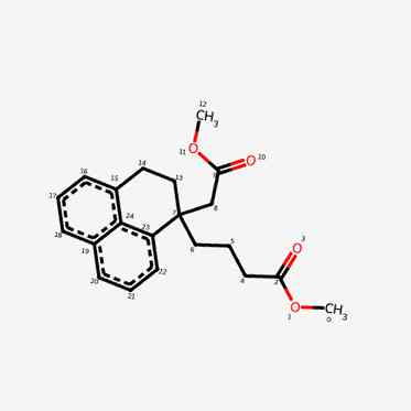 COC(=O)CCCC1(CC(=O)OC)CCc2cccc3cccc1c23